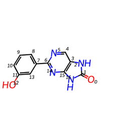 O=c1[nH]c2cnc(-c3cccc(O)c3)nc2[nH]1